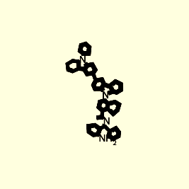 C=C(/N=C(/c1ccccc1)c1ccccc1N)c1ccc(-n2c3ccccc3c3cc(-c4ccc5c(c4)c4c(n5-c5ccccc5)CCC=C4)ccc32)c2ccccc12